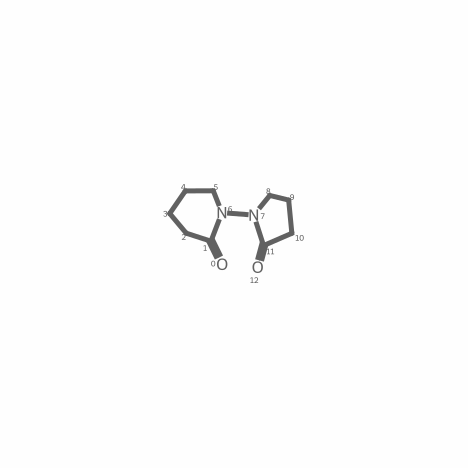 O=C1CCCCN1N1CCCC1=O